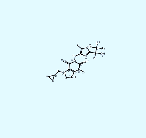 Cc1sc(C(C)(O)C(F)(F)F)nc1Cn1c(=O)c2c(n(C)c1=O)NCN2CC1CC1